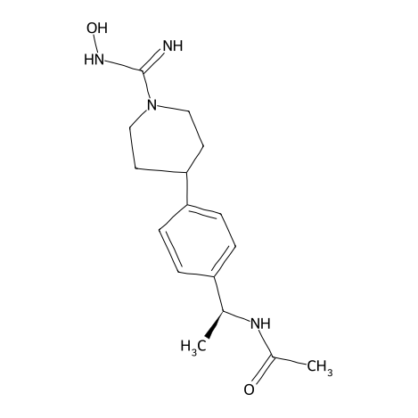 CC(=O)N[C@@H](C)c1ccc(C2CCN(C(=N)NO)CC2)cc1